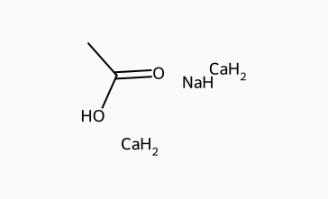 CC(=O)O.[CaH2].[CaH2].[NaH]